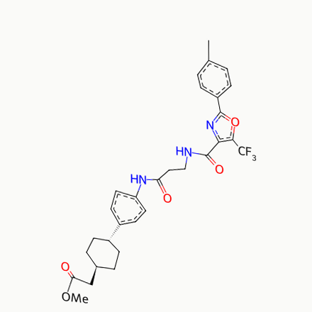 COC(=O)C[C@H]1CC[C@H](c2ccc(NC(=O)CCNC(=O)c3nc(-c4ccc(C)cc4)oc3C(F)(F)F)cc2)CC1